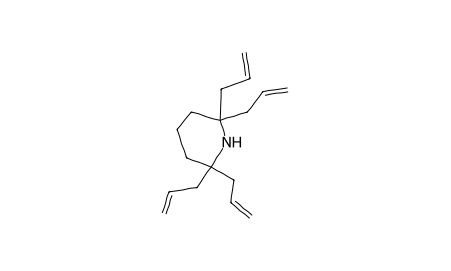 C=CCC1(CC=C)CCCC(CC=C)(CC=C)N1